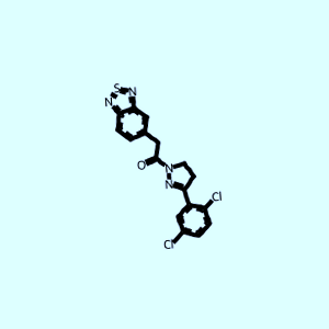 O=C(Cc1ccc2nsnc2c1)N1CCC(c2cc(Cl)ccc2Cl)=N1